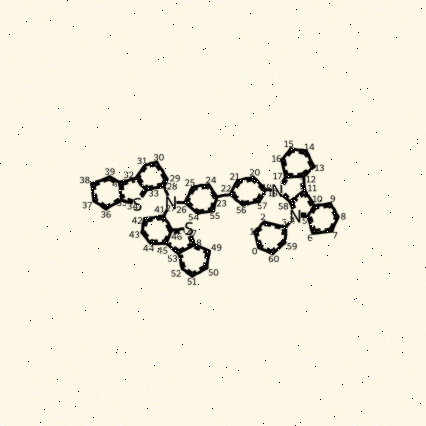 c1ccc(-n2c3ccccc3c3c4ccccc4n(-c4ccc(-c5ccc(N(c6cccc7c6sc6ccccc67)c6cccc7c6sc6ccccc67)cc5)cc4)c32)cc1